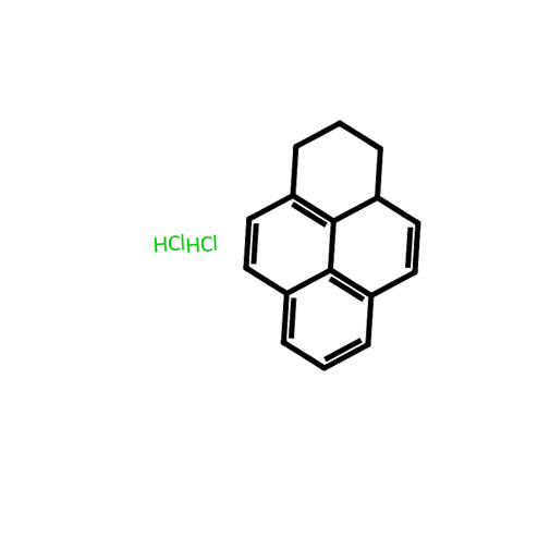 C1=CC2CCCc3ccc4cccc1c4c32.Cl.Cl